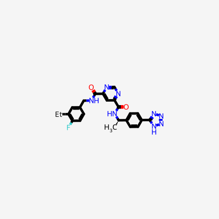 CCc1cc(CNC(=O)c2cc(C(=O)N[C@@H](C)c3ccc(-c4nnn[nH]4)cc3)ncn2)ccc1F